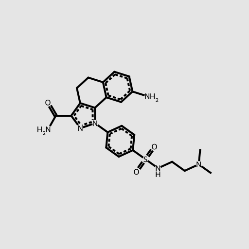 CN(C)CCNS(=O)(=O)c1ccc(-n2nc(C(N)=O)c3c2-c2cc(N)ccc2CC3)cc1